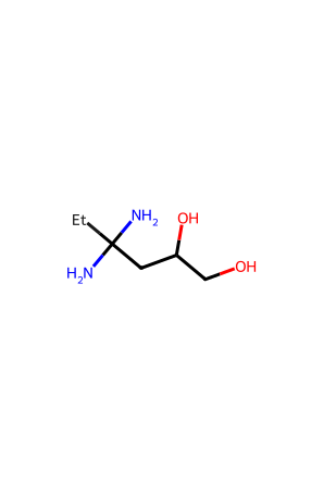 CCC(N)(N)CC(O)CO